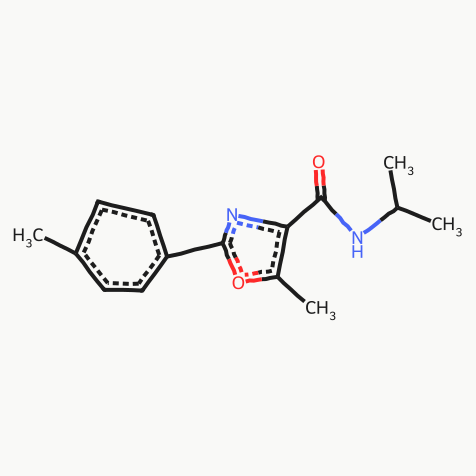 Cc1ccc(-c2nc(C(=O)NC(C)C)c(C)o2)cc1